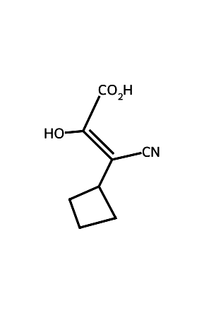 N#C/C(=C(/O)C(=O)O)C1CCC1